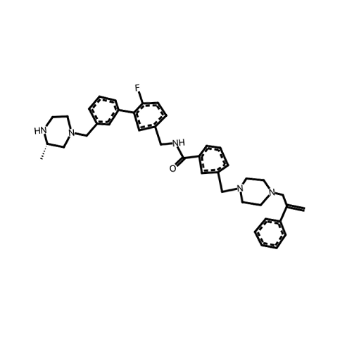 C=C(CN1CCN(Cc2cccc(C(=O)NCc3ccc(F)c(-c4cccc(CN5CCN[C@@H](C)C5)c4)c3)c2)CC1)c1ccccc1